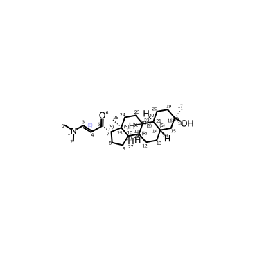 CN(C)/C=C/C(=O)[C@H]1CC[C@H]2[C@@H]3CC[C@H]4C[C@](C)(O)CC[C@@H]4[C@H]3CC[C@]12C